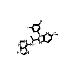 COc1ccc2nc(C(C)Nc3ncnc4[nH]cnc34)n(-c3cc(F)cc(F)c3)c2n1